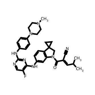 CC(C)C=C(C#N)C(=O)N1CC2(CC2)c2ccc(Nc3nc(Nc4ccc(N5CCN(C)CC5)cc4)ncc3F)cc21